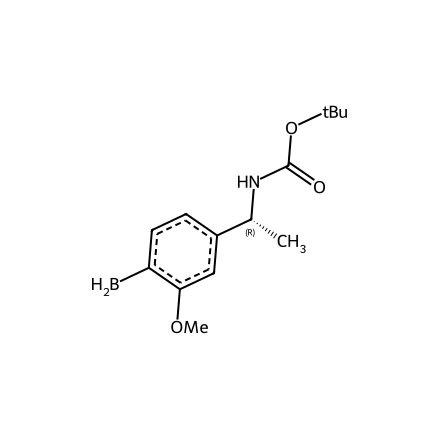 Bc1ccc([C@@H](C)NC(=O)OC(C)(C)C)cc1OC